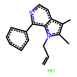 C=CCn1c(C)c(C)c2ccnc(-c3ccccc3)c21.Cl